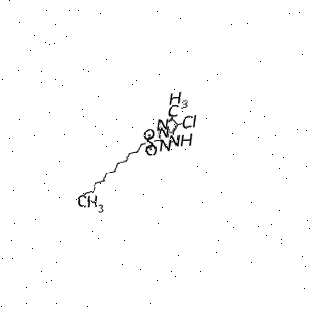 CCCCCCCCCCCCS(=O)(=O)c1n[nH]c2c(Cl)c(C)nn12